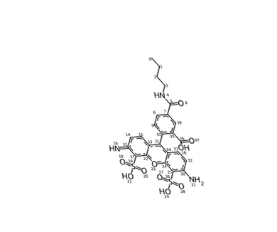 CCCCNC(=O)c1ccc(-c2c3ccc(=N)c(S(=O)(=O)O)c-3oc3c(S(=O)(=O)O)c(N)ccc23)c(C(=O)O)c1